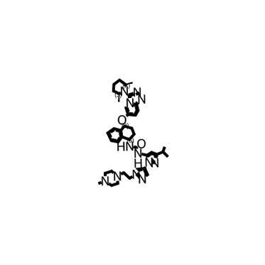 CC(C)c1cc(NC(=O)N[C@H]2CC[C@@H](Oc3ccc4nnc(N5[C@H](C)CCC[C@@H]5C)n4c3)c3ccccc32)n(-c2cnn(CCN3CCN(C)CC3)c2)n1